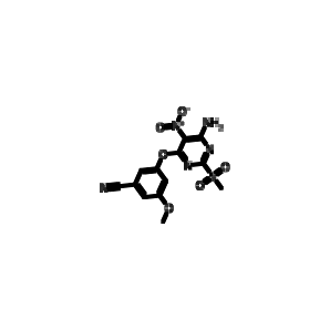 COc1cc(C#N)cc(Oc2nc(S(C)(=O)=O)nc(N)c2[N+](=O)[O-])c1